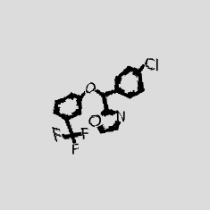 FC(F)(F)c1cccc(OC(c2ccc(Cl)cc2)c2ncco2)c1